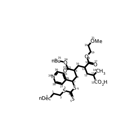 CCCCCCCCCCCCSC(=S)SC(CC(CC(CC(C)C(=O)O)C(=O)OCCOC)C(=O)OCCCC)c1ccncc1